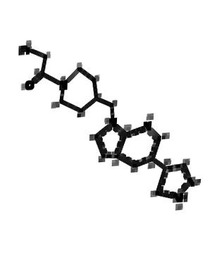 CC(C)CC(=O)N1CCC(Cn2ccc3cc(-c4cn[nH]c4)cnc32)CC1